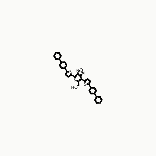 OCc1nc(-c2ccc(-c3ccc(-c4ccccc4)cc3)s2)c2nonc2c1-c1ccc(-c2ccc(-c3ccccc3)cc2)s1